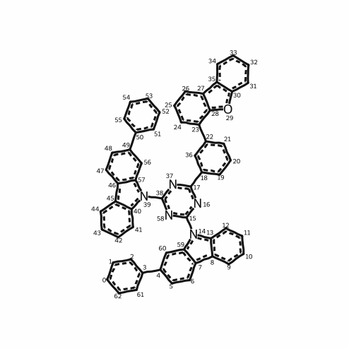 c1ccc(-c2ccc3c4ccccc4n(-c4nc(-c5cccc(-c6cccc7c6oc6ccccc67)c5)nc(-n5c6ccccc6c6ccc(-c7ccccc7)cc65)n4)c3c2)cc1